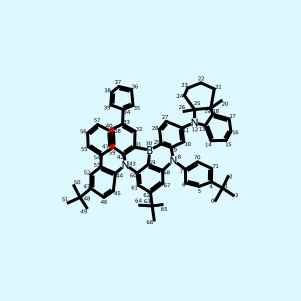 CC(C)(C)c1ccc(N2c3cc(N4c5ccccc5C5(C)CCCCC45C)ccc3B3c4cc(-c5ccccc5)ccc4N(c4ccc(C(C)(C)C)cc4-c4ccccc4)c4cc(C(C)(C)C)cc2c43)cc1